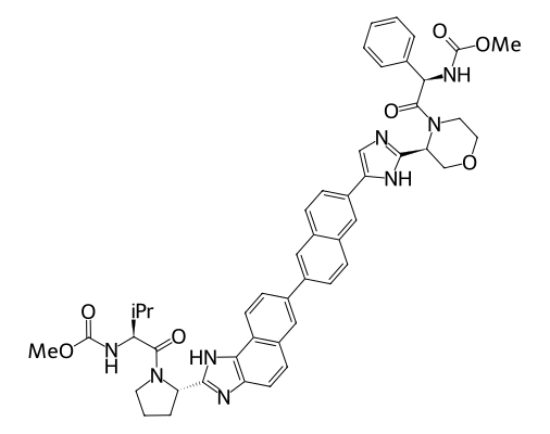 COC(=O)N[C@H](C(=O)N1CCC[C@H]1c1nc2ccc3cc(-c4ccc5cc(-c6cnc([C@@H]7COCCN7C(=O)[C@H](NC(=O)OC)c7ccccc7)[nH]6)ccc5c4)ccc3c2[nH]1)C(C)C